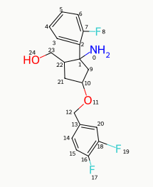 NC1(c2ccccc2F)CC(OCc2ccc(F)c(F)c2)CC1CO